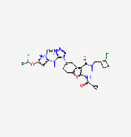 Cn1nc(OC(F)F)cc1Nc1nncn1[C@H]1CCc2sc(NC(=O)C3CC3)c(C(=O)NCC3CCC3F)c2C1